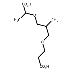 CC(COCCC(=O)O)COC(C)C(=O)O